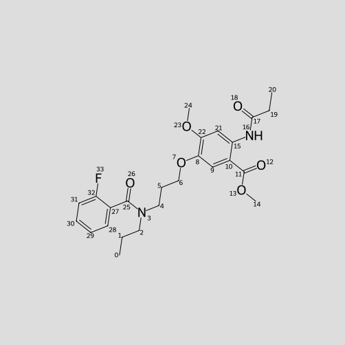 CCCN(CCCOc1cc(C(=O)OC)c(NC(=O)CC)cc1OC)C(=O)c1ccccc1F